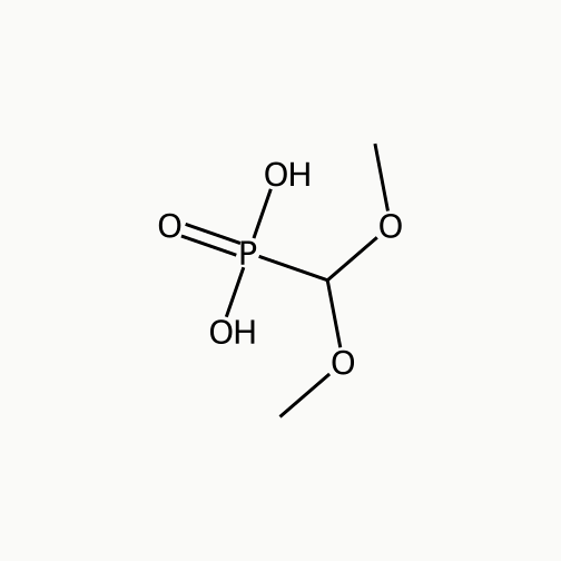 COC(OC)P(=O)(O)O